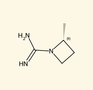 C[C@@H]1CCN1C(=N)N